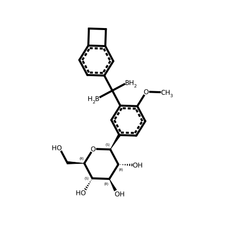 BC(B)(c1ccc2c(c1)CC2)c1cc([C@@H]2O[C@H](CO)[C@@H](O)[C@H](O)[C@H]2O)ccc1OC